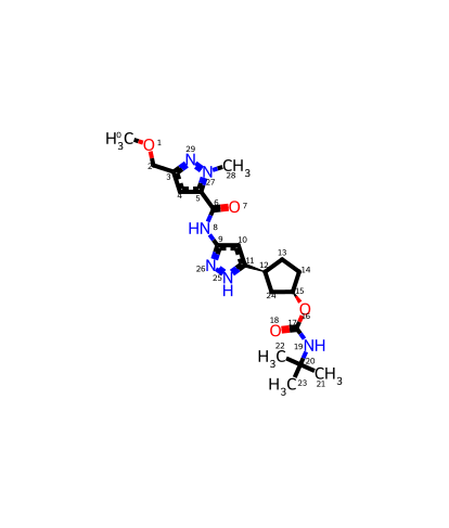 COCc1cc(C(=O)Nc2cc([C@H]3CC[C@@H](OC(=O)NC(C)(C)C)C3)[nH]n2)n(C)n1